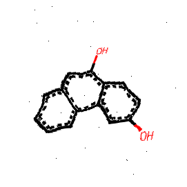 Oc1ccc2c(O)cc3[c]cccc3c2c1